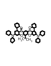 CC(C)c1c2c(cc3c1Oc1cc(N(c4ccccc4)c4ccccc4)cc4c1B3Oc1ccccc1-4)B1Oc3ccccc3-c3cc(N(c4ccccc4)c4ccccc4)cc(c31)O2